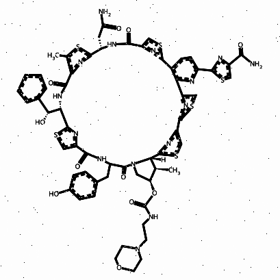 Cc1sc2nc1C(=O)N[C@@H]([C@H](O)c1ccccc1)c1nc(cs1)C(=O)NC(Cc1ccc(O)cc1)C(=O)N1C[C@H](OC(=O)NCCN3CCOCC3)[C@H](C)[C@H]1c1nc(cs1)-c1nc(cs1)-c1nc(-c3nc(C(N)=O)cs3)ccc1-c1nc(cs1)C(=O)N[C@H]2CC(N)=O